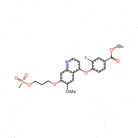 COc1cc2c(Oc3ccc(C(=O)OC(C)(C)C)cc3F)ccnc2cc1OCCCOS(C)(=O)=O